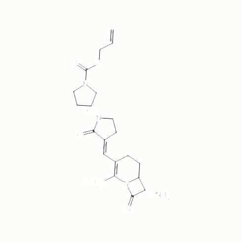 C=CCOC(=O)N1CC[C@@H](N2CC/C(=C\C3=C(C(=O)O)N4C(=O)[C@@H](N)C4CC3)C2=O)C1